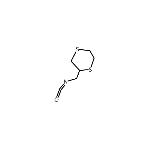 O=C=NCC1CSCCS1